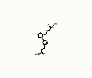 COC(=O)CCc1cnc(N2CCC[C@H]2COCC(=O)OC(C)(C)C)s1